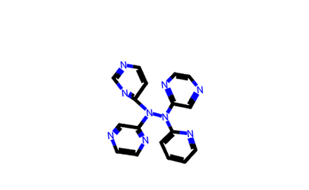 c1ccc(N(c2cnccn2)N(c2ccncn2)c2cnccn2)nc1